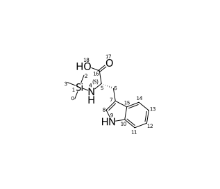 C[Si](C)(C)N[C@@H](Cc1c[nH]c2ccccc12)C(=O)O